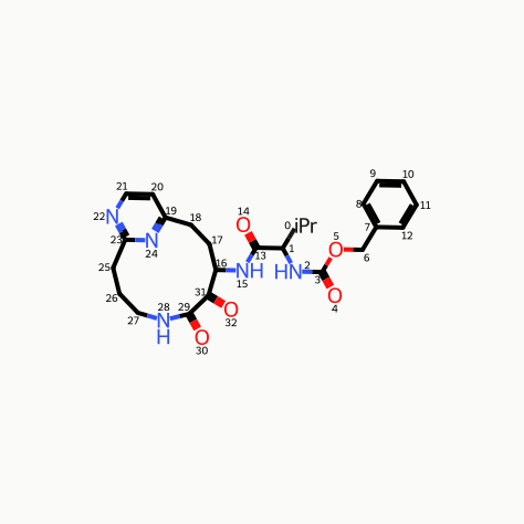 CC(C)C(NC(=O)OCc1ccccc1)C(=O)NC1CCc2ccnc(n2)CCCNC(=O)C1=O